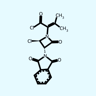 CC(C)=C(C(=O)Cl)N1C(=O)[C@H](N2C(=O)c3ccccc3C2=O)[C@H]1Cl